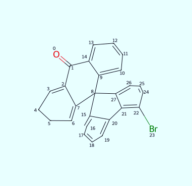 O=C1C2=CCCC=C2C2(c3ccccc31)c1ccccc1-c1c(Br)cccc12